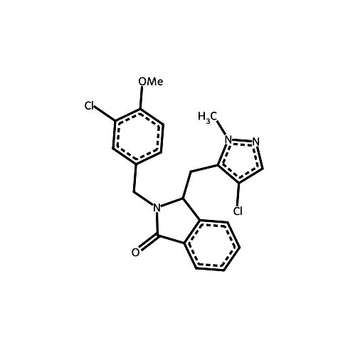 COc1ccc(CN2C(=O)c3ccccc3C2Cc2c(Cl)cnn2C)cc1Cl